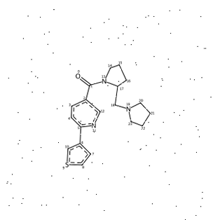 O=C(c1ccc(-c2ccsc2)nc1)N1CCCC1CN1CCCC1